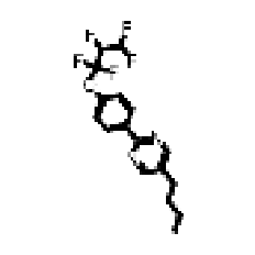 CCCCc1cnc(-c2ccc(OC(F)(F)C(F)C(F)F)cc2)nc1